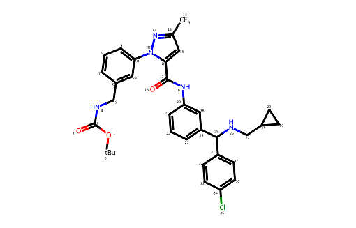 CC(C)(C)OC(=O)NCc1cccc(-n2nc(C(F)(F)F)cc2C(=O)Nc2cccc(C(NCC3CC3)c3ccc(Cl)cc3)c2)c1